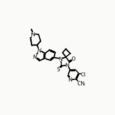 CN1CCC(n2ncc3cc(N4C(=S)N(c5cnc(C#N)c(Cl)c5)C(=O)C45CCC5)ccc32)CC1